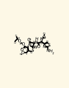 COCC1=C(C(=O)OCOC(C)C)N2C(=O)C(NC(=O)C(=NOC)c3csc(N)n3)[C@@H]2SC1